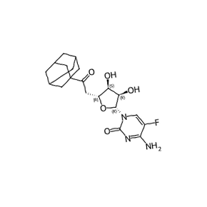 Nc1nc(=O)n([C@@H]2O[C@H](CC(=O)C34CC5CC(CC(C5)C3)C4)[C@@H](O)[C@H]2O)cc1F